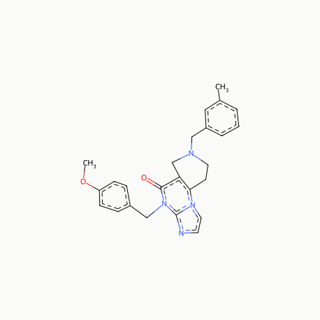 COc1ccc(Cn2c(=O)c3c(n4ccnc24)CCN(Cc2cccc(C)c2)C3)cc1